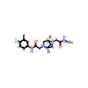 Cc1cc(NC(=O)CN2C[C@@H]3C[C@H]2CN3CC(=O)NC(C)(C)C)ccc1F